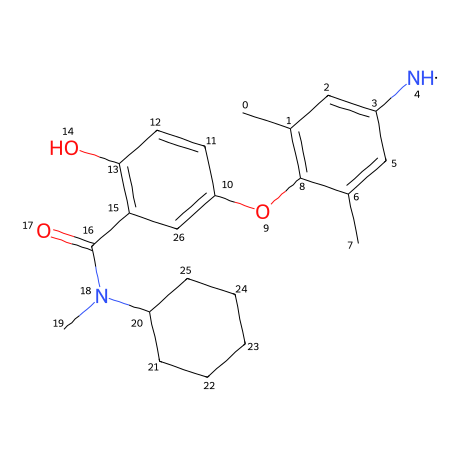 Cc1cc([NH])cc(C)c1Oc1ccc(O)c(C(=O)N(C)C2CCCCC2)c1